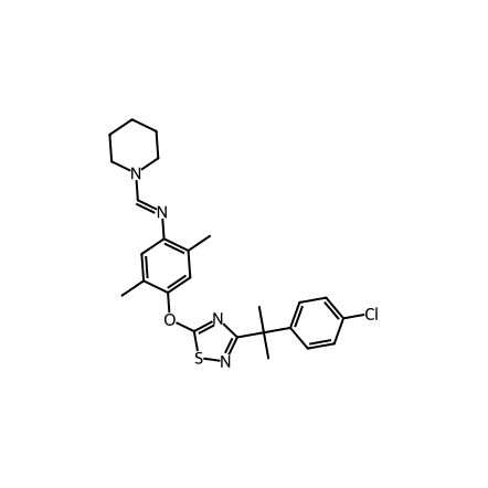 Cc1cc(Oc2nc(C(C)(C)c3ccc(Cl)cc3)ns2)c(C)cc1N=CN1CCCCC1